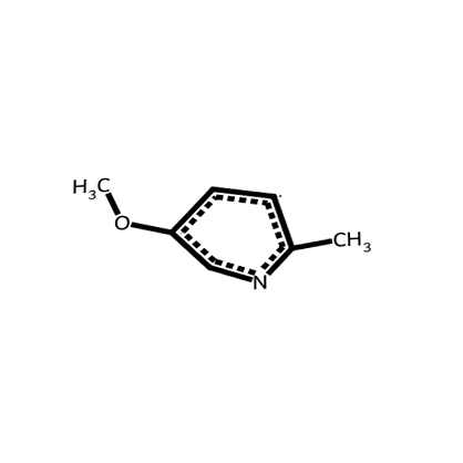 COc1c[c]c(C)nc1